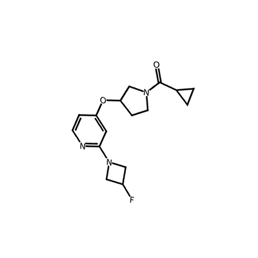 O=C(C1CC1)N1CCC(Oc2ccnc(N3CC(F)C3)c2)C1